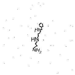 NCCCCNCCCNCc1ccccc1